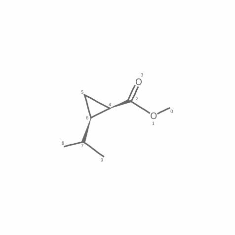 COC(=O)[C@@H]1C[C@@H]1C(C)C